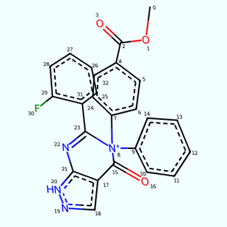 COC(=O)c1ccc([N+]2(c3ccccc3)C(=O)c3cn[nH]c3N=C2c2ccccc2F)cc1